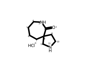 Cl.O=C1NCCCCC12CCNC2